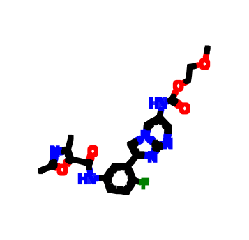 COCCOC(=O)Nc1cnc2nc(-c3cc(NC(=O)c4oc(C)nc4C)ccc3F)cn2c1